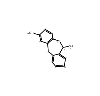 COc1ccc2c(c1)Sc1ccccc1C(O)N2